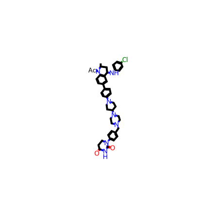 CC(=O)N1c2ccc(-c3ccc(N4CCC(N5CCN(Cc6ccc(N7CCC(=O)NC7=O)cc6)CC5)CC4)cc3)cc2C(Nc2ccc(Cl)cc2)CC1C